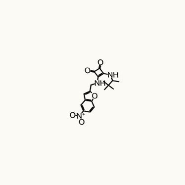 CC(Nc1c(NCc2cc3cc([N+](=O)[O-])ccc3o2)c(=O)c1=O)C(C)(C)C